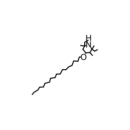 CCCCCCCCCCCCCCCCCCOC1CC(C)(CC)NC(C)(CC)C1C